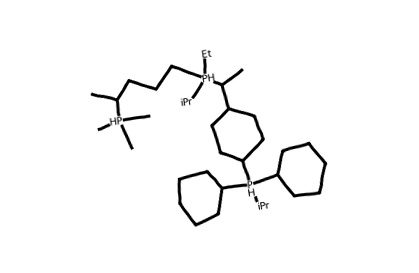 CC[PH](CCCC(C)[PH](C)(C)C)(C(C)C)C(C)C1CCC([PH](C(C)C)(C2CCCCC2)C2CCCCC2)CC1